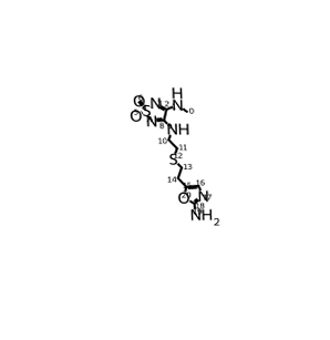 CNC1=NS(=O)(=O)N=C1NCCSCCc1cnc(N)o1